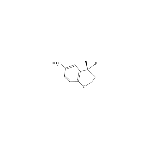 C[C@@]1(F)CCOc2ccc(C(=O)O)cc21